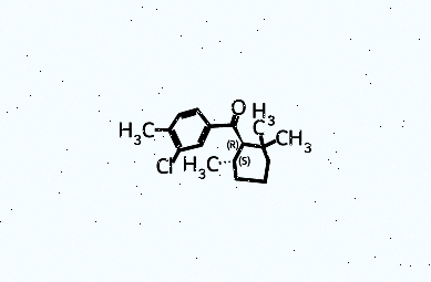 Cc1ccc(C(=O)[C@@H]2[C@@H](C)CCCC2(C)C)cc1Cl